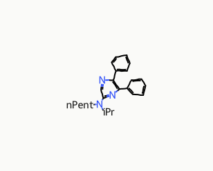 CCCCCN(c1cnc(-c2ccccc2)c(-c2ccccc2)n1)C(C)C